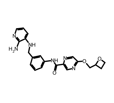 Nc1ncccc1NCc1cccc(NC(=O)c2cnc(OCC3CCO3)cn2)c1